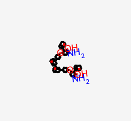 Nc1ccc(Oc2ccc(C34CC5CC(C3)CC(C36CC7CC(CC(c8ccc(Oc9ccc(N)c(O)c9C9C%10CC%11CC(C%10)CC9C%11)cc8)(C7)C3)C6)(C5)C4)cc2)c(C2C3CC4CC(C3)CC2C4)c1O